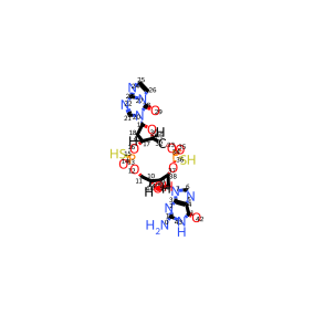 Nc1nc2c(ncn2[C@@H]2O[C@@H]3COP(=O)(S)O[C@H]4C[C@H](n5cnc6nccn6c5=O)O[C@@H]4COP(=O)(S)OC2[C@H]3O)c(=O)[nH]1